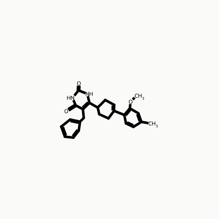 COc1cc(C)ccc1C1=CCC(c2[nH]c(=O)[nH]c(=O)c2Cc2ccccc2)CC1